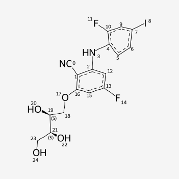 N#Cc1c(Nc2ccc(I)cc2F)cc(F)cc1OC[C@H](O)[C@@H](O)CO